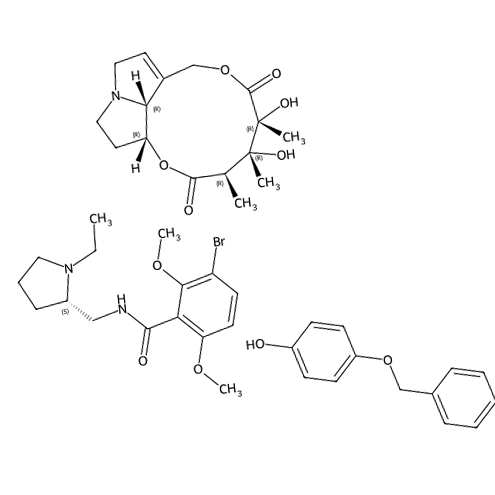 CCN1CCC[C@H]1CNC(=O)c1c(OC)ccc(Br)c1OC.C[C@H]1C(=O)O[C@@H]2CCN3CC=C(COC(=O)[C@](C)(O)[C@]1(C)O)[C@H]23.Oc1ccc(OCc2ccccc2)cc1